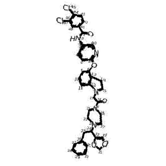 O=C(Nc1ccc(Oc2cccc3c2CCN3CC(=O)N2CCN(C(Cc3ccccc3)C3=COCO3)CC2)nc1)c1ccc(Cl)c(Cl)c1